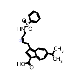 CC(C)c1ccc2c(C/C=C\CNS(=O)(=O)c3ccccc3)cc(C(=O)O)c-2cc1